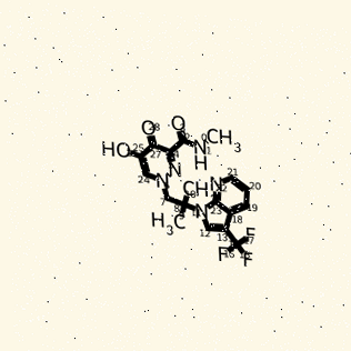 CNC(=O)c1nn(CC(C)(C)n2cc(C(F)(F)F)c3cccnc32)cc(O)c1=O